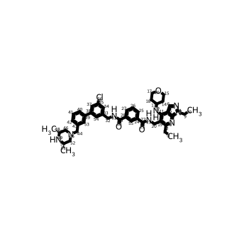 CCc1nc2c(cnn2CC)c(NC2CCOCC2)c1CNC(=O)c1cccc(C(=O)NCc2cc(Cl)cc(-c3cccc(CN4C[C@@H](C)N[C@@H](C)C4)c3)c2)c1